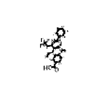 C=CCc1c(CC(F)(F)F)nc(-c2ccccc2)nc1N(C)c1ccc(C(=O)O)cc1